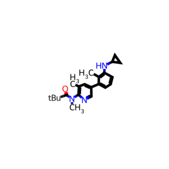 Cc1cc(-c2cccc(NC3CC3)c2C)cnc1N(C)C(=O)C(C)(C)C